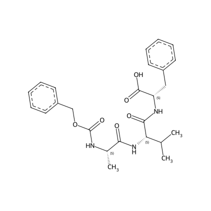 CC(C)[C@H](NC(=O)[C@H](C)NC(=O)OCc1ccccc1)C(=O)N[C@@H](Cc1ccccc1)C(=O)O